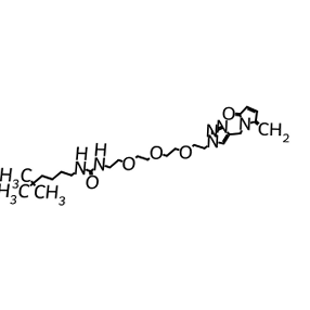 C=C1C=CC(=O)N1Cc1cn(CCOCCOCCOCCNC(=O)NCCCCC(C)(C)C)nn1